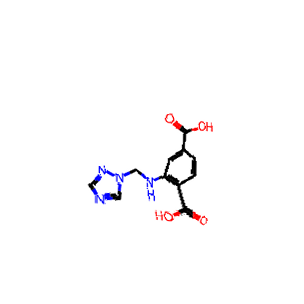 O=C(O)c1ccc(C(=O)O)c(NCn2cncn2)c1